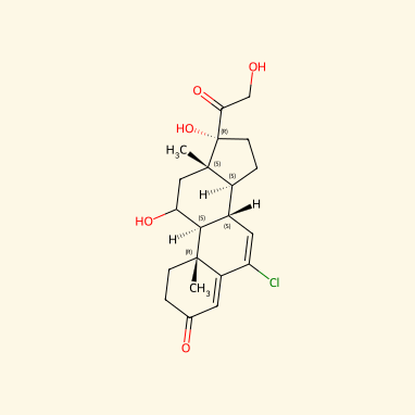 C[C@]12CCC(=O)C=C1C(Cl)=C[C@@H]1[C@@H]2C(O)C[C@@]2(C)[C@H]1CC[C@]2(O)C(=O)CO